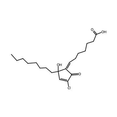 CCCCCCCCC1(O)C=C(Cl)C(=O)C1=CCCCCCC(=O)O